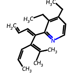 C=C/C=C(\C(/C=C\C)=C(C)C)c1nccc(CC)c1CC